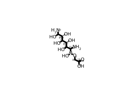 NC(O)[C@H](O)C(O)[C@H](O)C(O)C(N)N(O)OCC(=O)O